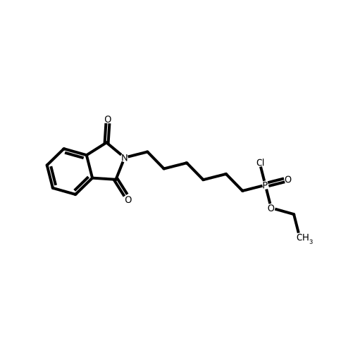 CCOP(=O)(Cl)CCCCCCN1C(=O)c2ccccc2C1=O